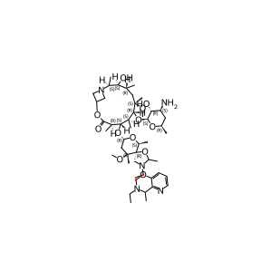 CCN(CCN1C[C@@]2(OC1C)[C@H](C)O[C@@H](O[C@H]1[C@H](C)[C@@H](O[C@@H]3O[C@H](C)C[C@H](N)[C@H]3O)[C@@](C)(OC)C[C@@H](C)[C@H](O)[C@H](C)N3CC(C3)OC(=O)[C@@H]1C)C[C@@]2(C)OC)C(C)c1ncccc1OC